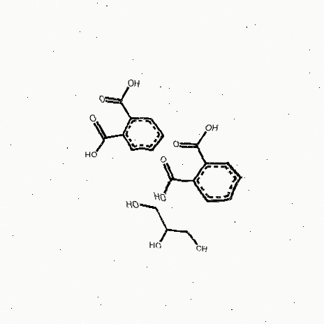 O=C(O)c1ccccc1C(=O)O.O=C(O)c1ccccc1C(=O)O.OCC(O)CO